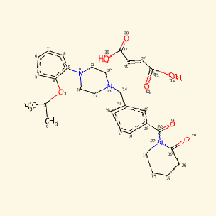 CC(C)Oc1ccccc1N1CCN(Cc2cccc(C(=O)N3CCCCC3=O)c2)CC1.O=C(O)C=CC(=O)O